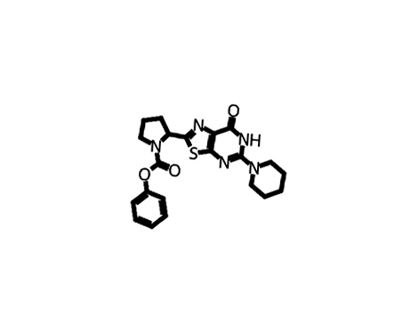 O=C(Oc1ccccc1)N1CCCC1c1nc2c(=O)[nH]c(N3CCCCC3)nc2s1